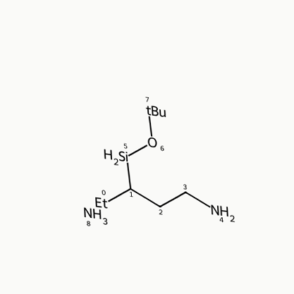 CCC(CCN)[SiH2]OC(C)(C)C.N